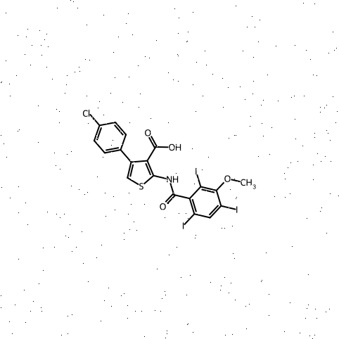 COc1c(I)cc(I)c(C(=O)Nc2scc(-c3ccc(Cl)cc3)c2C(=O)O)c1I